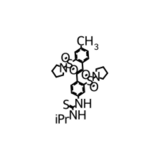 Cc1ccc(/C=C/c2ccc(NC(=S)NC(C)C)cc2S(=O)(=O)N2CCCC2)c(S(=O)(=O)N2CCCC2)c1